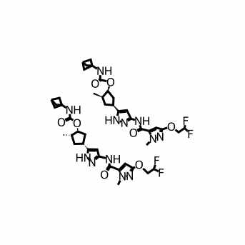 C[C@@H]1C[C@H](c2cc(NC(=O)c3cc(OCC(F)F)nn3C)n[nH]2)C[C@@H]1OC(=O)NC12CC(C1)C2.C[C@H]1C[C@@H](c2cc(NC(=O)c3cc(OCC(F)F)nn3C)n[nH]2)C[C@H]1OC(=O)NC12CC(C1)C2